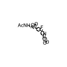 CC(=O)NC[C@H]1CN(c2ccc(C3(C)C=CC(N4CCS(=O)(=O)CC4)=NC3)c(F)c2)C(=O)O1